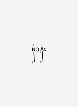 CC(C)=O.C[N+](=O)[O-]